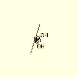 CCCCCCCCCN(CCCCCCCCC)P(=O)(OCCO)OCCO